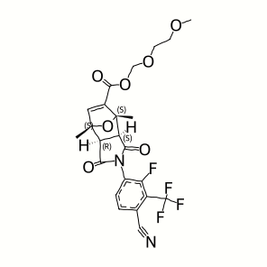 COCCOCOC(=O)C1=C[C@]2(C)O[C@@]1(C)[C@H]1C(=O)N(c3ccc(C#N)c(C(F)(F)F)c3F)C(=O)[C@H]12